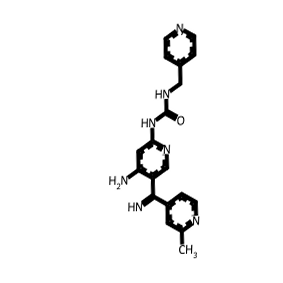 Cc1cc(C(=N)c2cnc(NC(=O)NCc3ccncc3)cc2N)ccn1